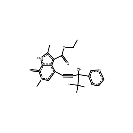 CCOC(=O)c1c(C)[nH]c2c(=O)n(C)cc(C#CC(O)(c3cccnc3)C(F)(F)F)c12